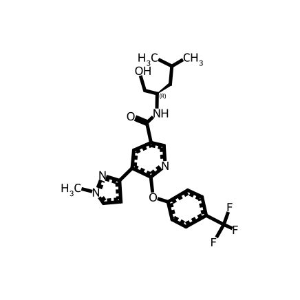 CC(C)C[C@H](CO)NC(=O)c1cnc(Oc2ccc(C(F)(F)F)cc2)c(-c2ccn(C)n2)c1